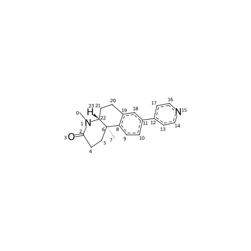 CN1C(=O)CC[C@]2(C)c3ccc(-c4ccncc4)cc3CC[C@@H]12